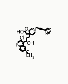 COc1ccc2ncc(Cl)c(C(O)CCC3(CC(=O)O)CCN(CC#Cc4cscn4)CC3)c2c1